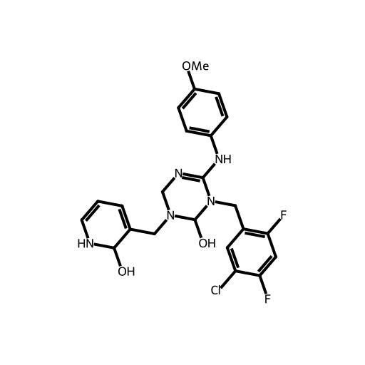 COc1ccc(NC2=NCN(CC3=CC=CNC3O)C(O)N2Cc2cc(Cl)c(F)cc2F)cc1